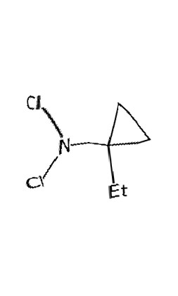 CCC1(N(Cl)Cl)CC1